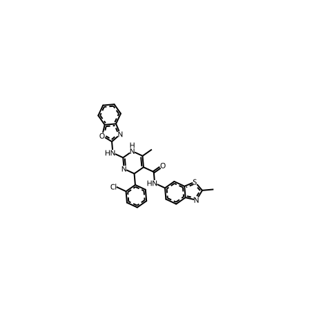 CC1=C(C(=O)Nc2ccc3nc(C)sc3c2)C(c2ccccc2Cl)N=C(Nc2nc3ccccc3o2)N1